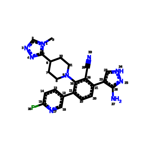 Cn1cnnc1C1CCN(c2c(-c3ccc(F)nc3)ccc(-c3c[nH]nc3N)c2C#N)CC1